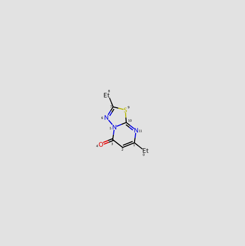 CCc1cc(=O)n2nc(CC)sc2n1